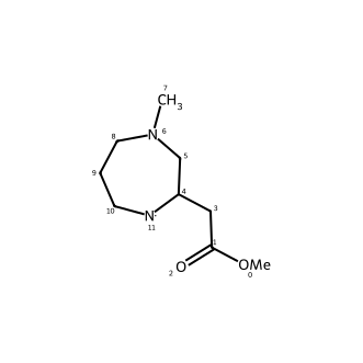 COC(=O)CC1CN(C)CCC[N]1